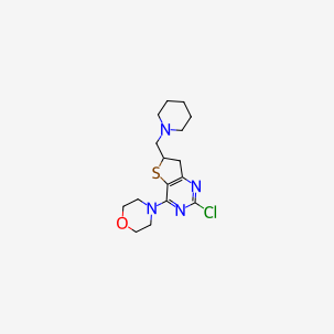 Clc1nc2c(c(N3CCOCC3)n1)SC(CN1CCCCC1)C2